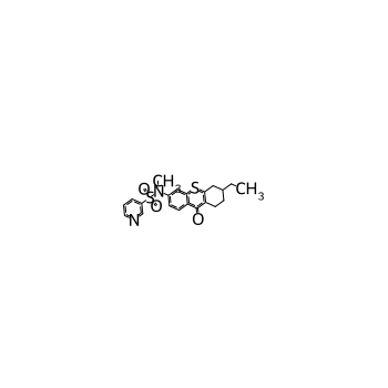 CCC1CCc2c(sc3cc(N(C)S(=O)(=O)c4cccnc4)ccc3c2=O)C1